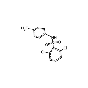 Cc1ccc(NS(=O)(=O)c2c(Cl)cccc2Cl)cc1